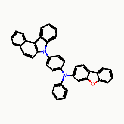 c1ccc(N(c2ccc(-n3c4ccccc4c4c5ccccc5ccc43)cc2)c2ccc3c(c2)oc2ccccc23)cc1